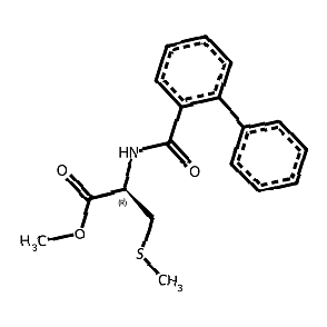 COC(=O)[C@H](CSC)NC(=O)c1ccccc1-c1ccccc1